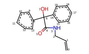 C=CCNC(=O)C(O)(c1ccccc1)c1ccccc1